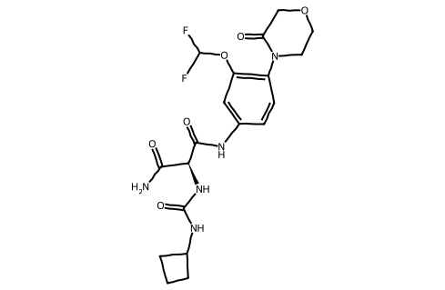 NC(=O)[C@H](NC(=O)NC1CCC1)C(=O)Nc1ccc(N2CCOCC2=O)c(OC(F)F)c1